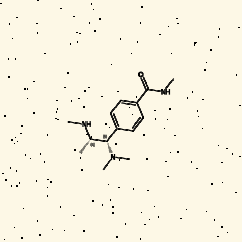 CNC(=O)c1ccc([C@@H]([C@H](C)NC)N(C)C)cc1